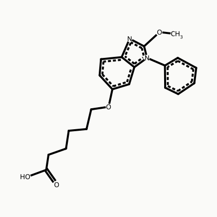 COc1nc2ccc(OCCCCCC(=O)O)cc2n1-c1ccccc1